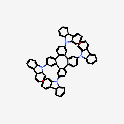 C1=CC2c3ccccc3N(c3ccc4c(c3)-c3cc(-n5c6ccccc6c6ccccc65)ccc3-c3ccc(-n5c6ccccc6c6ccccc65)cc3-c3cc(N5c6ccccc6C6C=CC=CC65)ccc3-4)C2C=C1